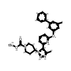 Cc1cc(Oc2cccc(-c3c(C)nnn3C3CCN(C(=O)OC(C)(C)C)CC3)n2)cc(-c2ccccc2)c1